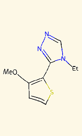 CCn1cnnc1-c1sccc1OC